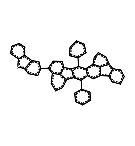 c1ccc(-c2c3cc4c5ccccc5c5cccc(c3c(-c3ccccc3)c3c6ccc(-c7ccc8sc9ccccc9c8c7)c7cccc(c23)c76)c54)cc1